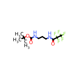 CC(C)(C)OC(=O)NCCCNC(=O)C(F)(F)C(F)(F)F